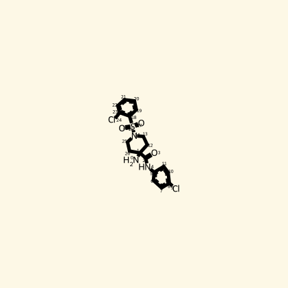 NC1(C(=O)Nc2ccc(Cl)cc2)CCN(S(=O)(=O)c2ccccc2Cl)CC1